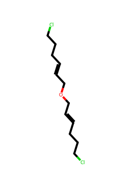 ClCCCC=CCOCC=CCCCCl